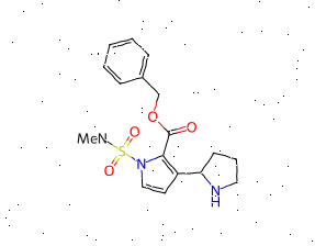 CNS(=O)(=O)n1ccc(C2CCCN2)c1C(=O)OCc1ccccc1